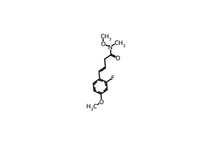 COc1ccc(/C=C/CC(=O)N(C)OC)c(F)c1